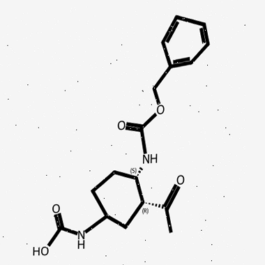 CC(=O)[C@@H]1CC(NC(=O)O)CC[C@@H]1NC(=O)OCc1ccccc1